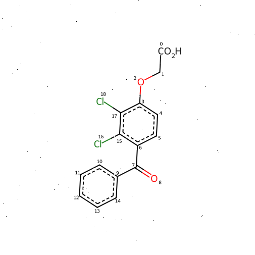 O=C(O)COc1ccc(C(=O)c2ccccc2)c(Cl)c1Cl